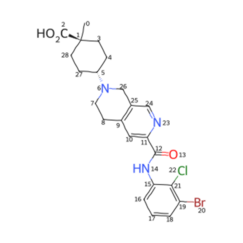 C[C@]1(C(=O)O)CC[C@H](N2CCc3cc(C(=O)Nc4cccc(Br)c4Cl)ncc3C2)CC1